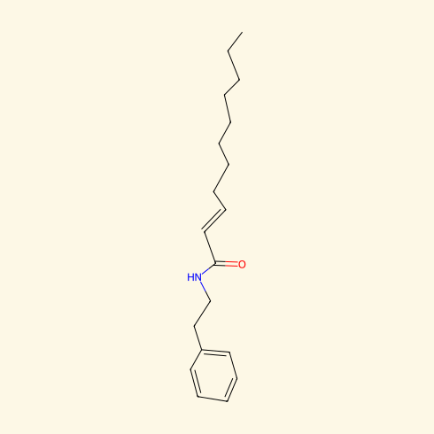 CCCCCCCCC=CC(=O)NCCc1ccccc1